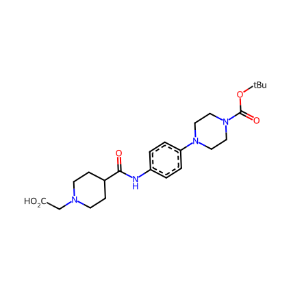 CC(C)(C)OC(=O)N1CCN(c2ccc(NC(=O)C3CCN(CC(=O)O)CC3)cc2)CC1